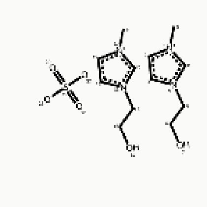 C[n+]1ccn(CCO)c1.C[n+]1ccn(CCO)c1.O=S(=O)([O-])[O-]